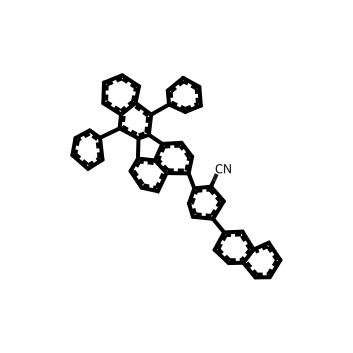 N#Cc1cc(-c2ccc3ccccc3c2)ccc1-c1ccc2c3c(cccc13)-c1c-2c(-c2ccccc2)c2ccccc2c1-c1ccccc1